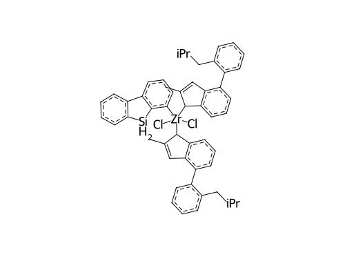 CC1=Cc2c(-c3ccccc3CC(C)C)cccc2[CH]1[Zr]([Cl])([Cl])([c]1cccc2c1[SiH2]c1ccccc1-2)[CH]1C(C)=Cc2c(-c3ccccc3CC(C)C)cccc21